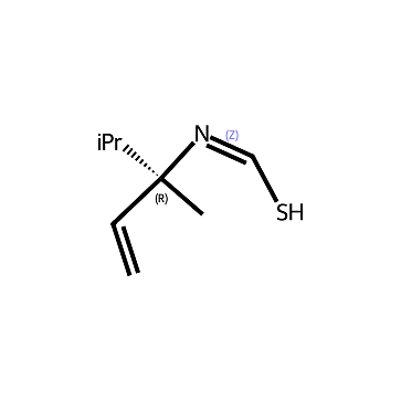 C=C[C@](C)(/N=C\S)C(C)C